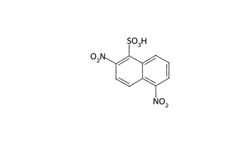 O=[N+]([O-])c1ccc2c([N+](=O)[O-])cccc2c1S(=O)(=O)O